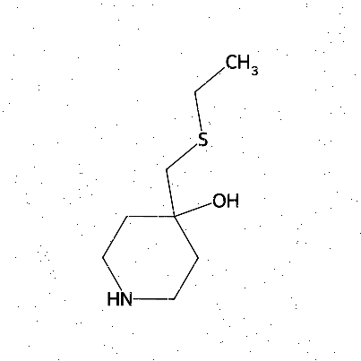 CCSCC1(O)CCNCC1